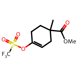 COC(=O)C1(C)CC=C(OS(=O)(=O)C(F)(F)F)CC1